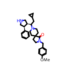 COc1ccc(CN2CCC3(CCN(C(CC4CC4)[C@@H]4CNC[C@@H]4c4ccccc4)CC3)C2=O)cc1